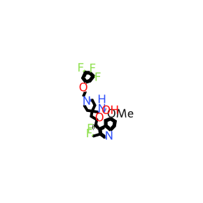 COc1ccc2ncc(CF)c([C@H](F)CCC3(C(=O)NO)CCN(CCOc4cc(F)c(F)c(F)c4)CC3)c2c1